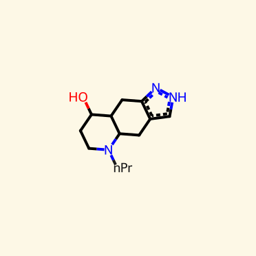 CCCN1CCC(O)C2Cc3n[nH]cc3CC21